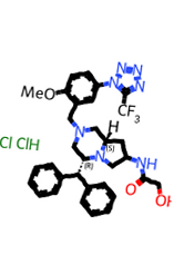 COc1ccc(-n2nnnc2C(F)(F)F)cc1CN1C[C@@H]2CC(NC(=O)CO)CN2[C@H](C(c2ccccc2)c2ccccc2)C1.Cl.Cl